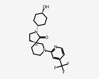 O=C1N([C@H]2CC[C@H](O)CC2)CC[C@@]12CCCN(c1cc(C(F)(F)F)ccn1)C2